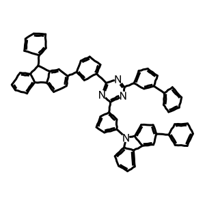 c1ccc(-c2cccc(-c3nc(-c4cccc(-c5ccc6c(c5)C(c5ccccc5)c5ccccc5-6)c4)nc(-c4cccc(-n5c6ccccc6c6cc(-c7ccccc7)ccc65)c4)n3)c2)cc1